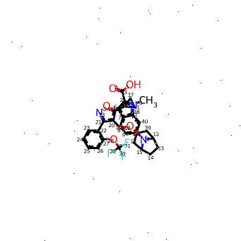 Cn1c(C(=O)O)cc2ccc(N3C4CCC3CC(OCc3c(-c5ccccc5OC(F)(F)F)noc3C3CC3)C4)cc21